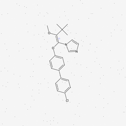 CO/C(=C(\Oc1ccc(-c2ccc(Cl)cc2)cc1)n1ccnc1)C(C)(C)C